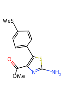 COC(=O)c1nc(N)sc1-c1ccc(SC)cc1